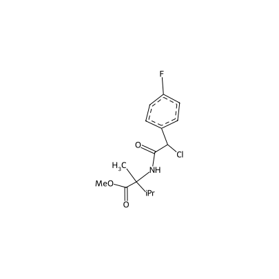 COC(=O)C(C)(NC(=O)C(Cl)c1ccc(F)cc1)C(C)C